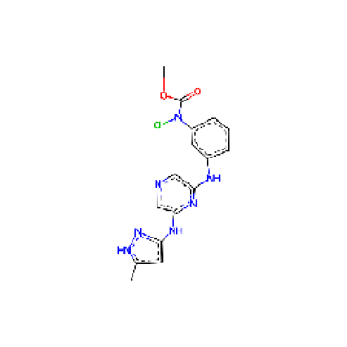 COC(=O)N(Cl)c1cccc(Nc2cncc(Nc3cc(C)[nH]n3)n2)c1